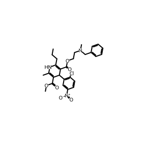 CCCC1=C(C(=O)OCCN(C)Cc2ccccc2)C(c2cc([N+](=O)[O-])ccc2Cl)C(C(=O)OC)=C(C)N1